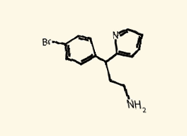 NCCC(c1ccc(Br)cc1)c1ccccn1